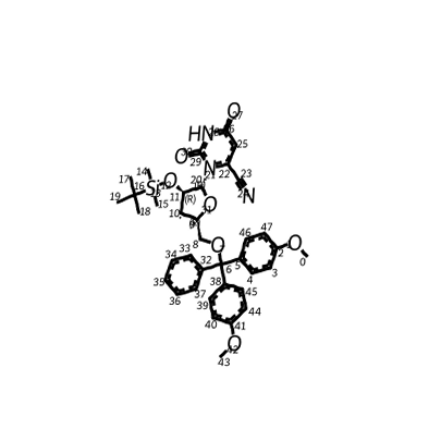 COc1ccc(C(OC[C@H]2[CH][C@@H](O[Si](C)(C)C(C)(C)C)[C@H](n3c(C#N)cc(=O)[nH]c3=O)O2)(c2ccccc2)c2ccc(OC)cc2)cc1